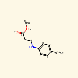 COc1ccc(NCCC(=O)OC(C)(C)C)cc1